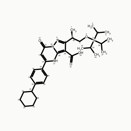 CC(C)[Si](OC[C@H](C)c1nn2c(=O)cc(-c3ccc(C4CCCCC4)cc3)[nH]c2c1C(=O)O)(C(C)C)C(C)C